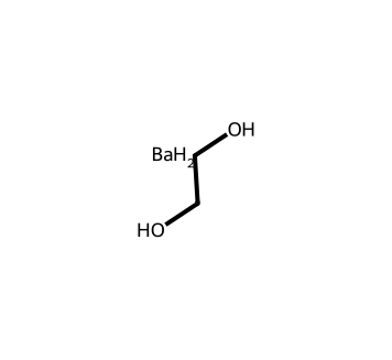 OCCO.[BaH2]